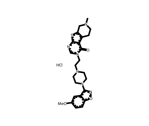 COc1ccc2onc(N3CCN(CCn4cnc5sc6c(c5c4=O)CCN(C)C6)CC3)c2c1.Cl